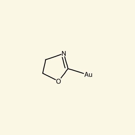 [Au][C]1=NCCO1